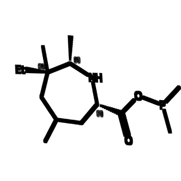 CC[C@]1(C)CC(C)C[C@@H](C(=O)OP(C)C)N[C@H]1C